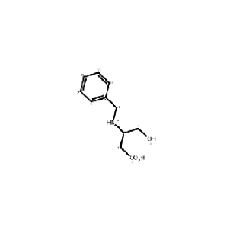 O=C(O)C[C@H](CO)NCc1ccccc1